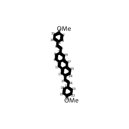 COc1ccc(/C=C/c2ccc3cc4cc(/C=C/c5ccc(OC)cc5)ccc4cc3c2)cc1